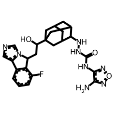 Nc1nonc1NC(=O)NNC1C2CC3CC1CC(C(O)CC1c4c(F)cccc4-c4cncn41)(C3)C2